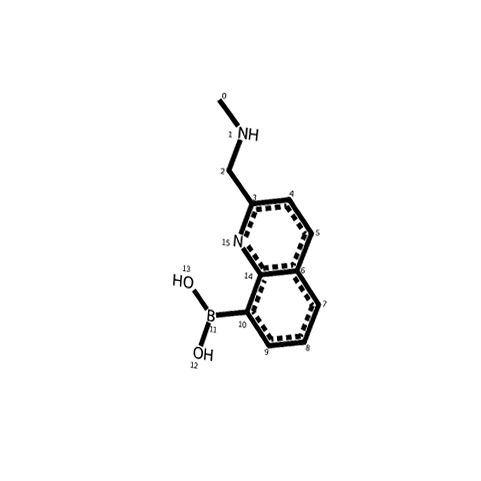 CNCc1ccc2cccc(B(O)O)c2n1